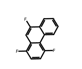 Fc1cc2c(F)[c]cc(F)c2c2cc[c]cc12